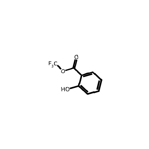 O=C(OC(F)(F)F)c1ccccc1O